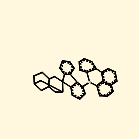 c1ccc(-c2ccccc2N(c2ccccc2)c2cccc3c2-c2ccccc2C32CC3CCC4CC3CC2C4)cc1